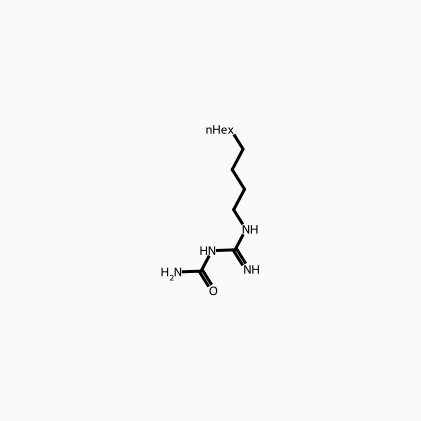 CCCCCCCCCCNC(=N)NC(N)=O